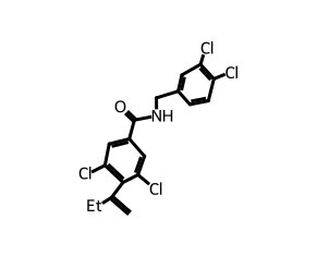 C=C(CC)c1c(Cl)cc(C(=O)NCc2ccc(Cl)c(Cl)c2)cc1Cl